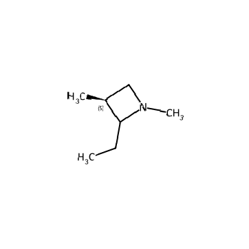 CCC1[C@@H](C)CN1C